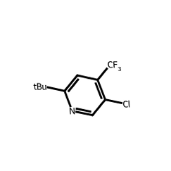 CC(C)(C)c1cc(C(F)(F)F)c(Cl)cn1